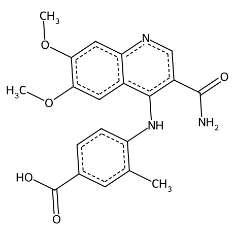 COc1cc2ncc(C(N)=O)c(Nc3ccc(C(=O)O)cc3C)c2cc1OC